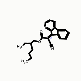 CCCCC(CC)COC(=O)/C(C#N)=C1/c2ccccc2-c2cccnc21